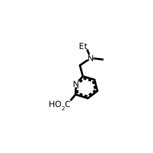 CCN(C)Cc1cccc(C(=O)O)n1